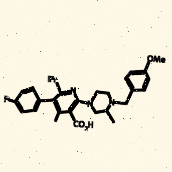 COc1ccc(CN2CCN(c3nc(C(C)C)c(-c4ccc(F)cc4)c(C)c3C(=O)O)CC2C)cc1